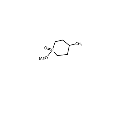 COP1(=O)CCC(C)CC1